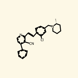 C[C@@H]1CCCCN1Cc1ccc(/C=C/c2nccc(-c3ccccc3)c2C#N)c(Cl)c1